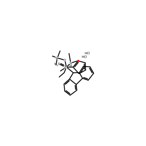 C[CH2][Zr]([CH3])(=[SiH2])([O][Si](C)(C)C)([C]1=CC=CC1)([CH]1c2ccccc2-c2ccccc21)[SiH](C)C.Cl.Cl